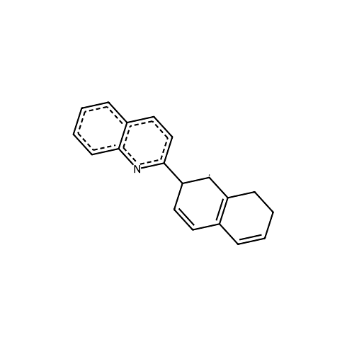 [CH]1C2=C(C=CCC2)C=CC1c1ccc2ccccc2n1